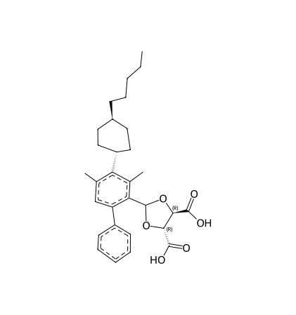 CCCCC[C@H]1CC[C@H](c2c(C)cc(-c3ccccc3)c(C3O[C@@H](C(=O)O)[C@H](C(=O)O)O3)c2C)CC1